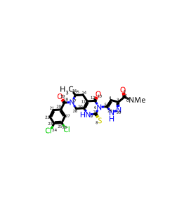 CNC(=O)c1cc(-n2c(=S)[nH]c3c(c2=O)CC(C)N(C(=O)c2ccc(Cl)c(Cl)c2)C3)[nH]n1